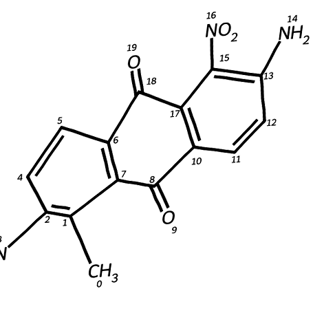 Cc1c(N)ccc2c1C(=O)c1ccc(N)c([N+](=O)[O-])c1C2=O